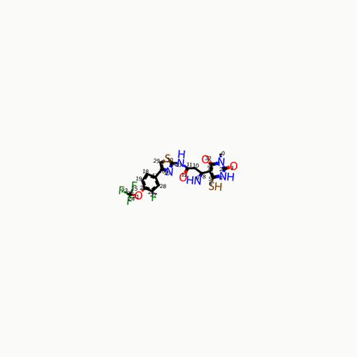 Cn1c(=O)[nH]c(S)c(C(=N)CC(=O)Nc2nc(-c3ccc(OC(F)(F)F)c(F)c3)cs2)c1=O